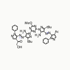 COc1nc(-n2nc(C(C)(C)C)c(/N=N/c3c(C(C)=O)cnn3-c3ccccc3)c2N)nc(-n2nc(C(C)(C)C)c(/N=N/c3c(C(=O)CO)cnn3-c3ccccc3)c2N)n1